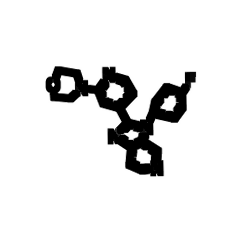 Fc1ccc(-n2c(-c3ccnc(N4CCOCC4)c3)nc3ccncc32)cc1